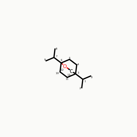 CC(C)C12CCC(C(C)C)(CC1)OC2